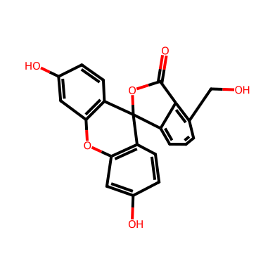 O=C1OC2(c3ccc(O)cc3Oc3cc(O)ccc32)c2cccc(CO)c21